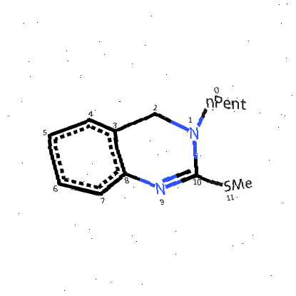 CCCCCN1Cc2ccccc2N=C1SC